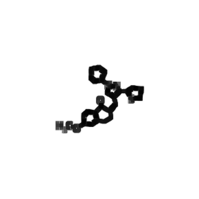 COc1ccc2c(c1)CC/C(=C/c1cn(-c3ccccc3)nc1-c1cccs1)C2=O